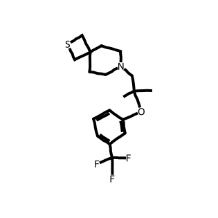 CC(C)(CN1CCC2(CC1)CSC2)Oc1cccc(C(F)(F)F)c1